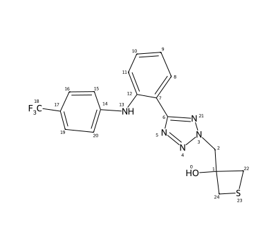 OC1(Cn2nnc(-c3ccccc3Nc3ccc(C(F)(F)F)cc3)n2)CSC1